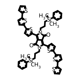 C[Si](C)(CCCN1C(=O)C2=C(c3ccc(-c4ccc(-c5cccs5)s4)s3)N(CCC[Si](C)(C)c3ccccc3)C(=O)C2=C1c1ccc(-c2ccc(-c3cccs3)s2)s1)c1ccccc1